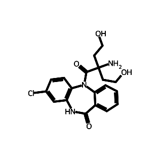 NC(CCO)(CCO)C(=O)N1c2ccc(Cl)cc2NC(=O)c2ccccc21